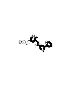 CCOC(=O)c1cnc(C)c(/C=C(\F)c2cncc(-c3ccccn3)c2)c1